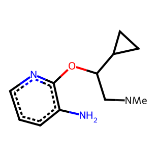 CNCC(Oc1ncccc1N)C1CC1